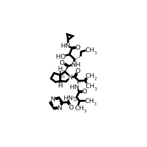 C=C(C)[C@H](NC(=O)[C@@H](NC(=O)c1cnccn1)C(C)C)C(=O)N1C[C@@H]2CCC[C@@H]2[C@H]1C(=O)N[C@@H](CCC)C(O)C(=O)NC1CC1